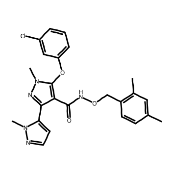 Cc1ccc(CONC(=O)c2c(-c3ccnn3C)nn(C)c2Oc2cccc(Cl)c2)c(C)c1